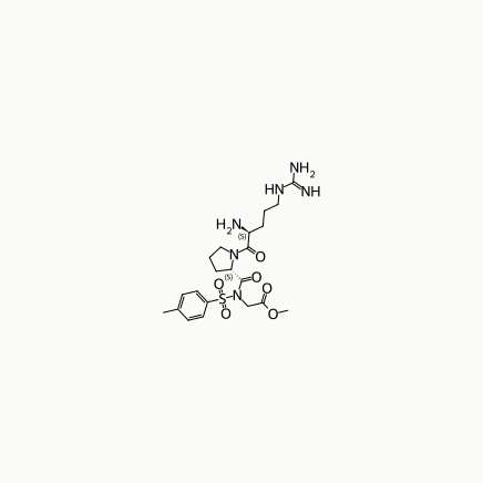 COC(=O)CN(C(=O)[C@@H]1CCCN1C(=O)[C@@H](N)CCCNC(=N)N)S(=O)(=O)c1ccc(C)cc1